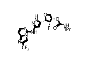 CC(C)NC(=O)O[C@H]1CO[C@@H](c2cc(Nc3nccc4nc(C(F)(F)F)cn34)n[nH]2)[C@H]1F